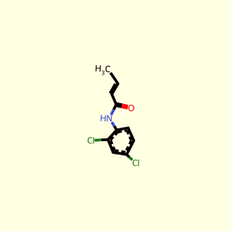 CC=CC(=O)Nc1ccc(Cl)cc1Cl